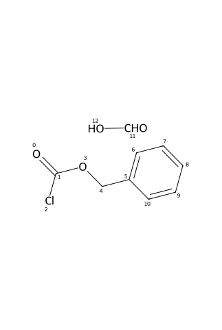 O=C(Cl)OCc1ccccc1.O=CO